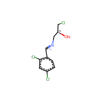 O[C@H](CCl)C/N=C/c1ccc(Cl)cc1Cl